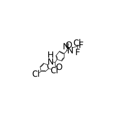 O=CC(Nc1ccc(Cl)cc1Cl)c1ccc(-c2noc(C(F)(F)Cl)n2)cc1